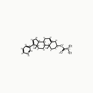 CCN(CC)C(=O)OC1CCC2(C)C(=CCC3C2CCC2(C)C(c4cccnc4)=CCC32)C1